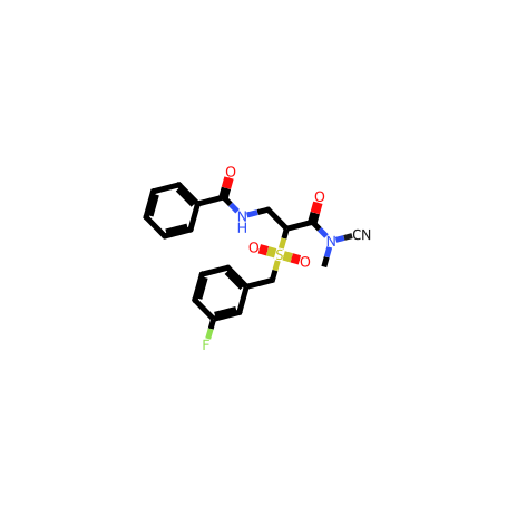 CN(C#N)C(=O)C(CNC(=O)c1ccccc1)S(=O)(=O)Cc1cccc(F)c1